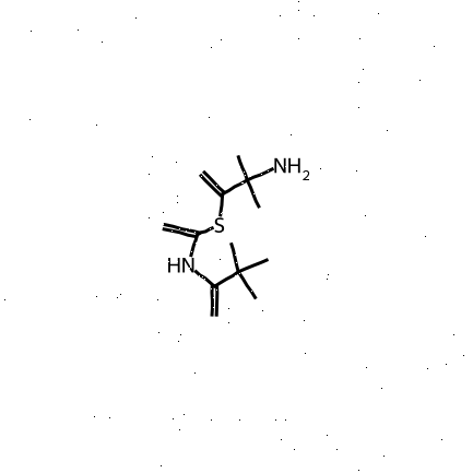 C=C(NC(=C)C(C)(C)C)SC(=C)C(C)(C)N